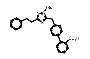 CC(C)(C)n1nc(CCc2ccccc2)nc1Cc1ccc(-c2ccccc2C(=O)O)cc1